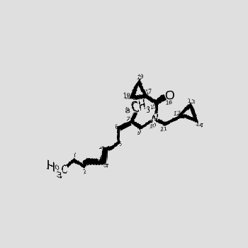 CC/C=C\CC/C=C(/C)CN(CC1CC1)C(=O)C1CC1